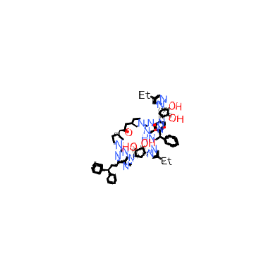 CCc1cnn([C@H]2C[C@@H](n3cnc4c(CCC(c5ccccc5)c5ccccc5)nc(N5CC[C@@H](CC(=O)CC6CCN(c7nc(NCC(c8ccccc8)c8ccccc8)c8ncn([C@@H]9C[C@H](n%10cc(CC)cn%10)[C@@H](O)[C@H]9O)c8n7)C6)C5)nc43)[C@H](O)[C@@H]2O)c1